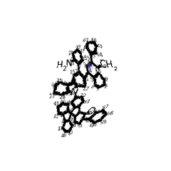 C=C/C(=C\C(c1ccccc1)c1cc2c(cc1-c1ccccc1N)c1ccccc1n2-c1ccc2c(c1)C1(c3ccccc3-c3ccccc31)c1ccc3c(oc4ccccc43)c1-2)c1ccccc1